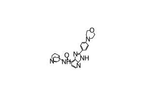 O=C(NC1CN2CCC1CC2)c1ccnc2[nH]c(-c3ccc(N4CCOCC4)cc3)nc12